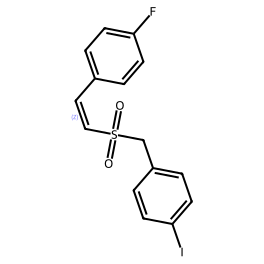 O=S(=O)(/C=C\c1ccc(F)cc1)Cc1ccc(I)cc1